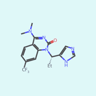 CC[C@@H](c1cnc[nH]1)n1c(=O)nc(N(C)C)c2ccc(C(F)(F)F)cc21